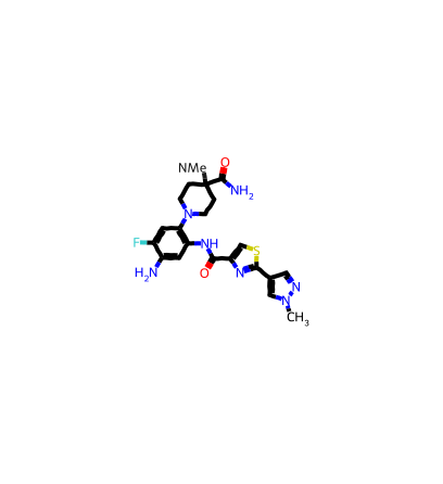 CNC1(C(N)=O)CCN(c2cc(F)c(N)cc2NC(=O)c2csc(-c3cnn(C)c3)n2)CC1